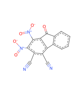 N#Cc1c(C#N)c([N+](=O)[O-])c([N+](=O)[O-])c2c1-c1ccccc1C2=O